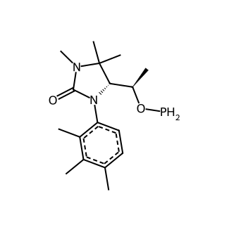 Cc1ccc(N2C(=O)N(C)C(C)(C)[C@@H]2[C@@H](C)OP)c(C)c1C